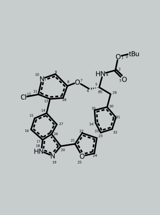 CC(C)(C)OC(=O)N[C@@H](COc1cnc(Cl)c(-c2ccc3[nH]nc(-c4ccco4)c3c2)c1)Cc1ccccc1